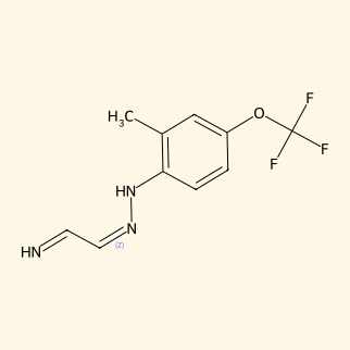 Cc1cc(OC(F)(F)F)ccc1N/N=C\C=N